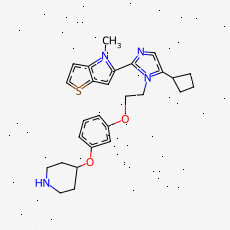 Cn1c(-c2ncc(C3CCC3)n2CCOc2cccc(OC3CCNCC3)c2)cc2sccc21